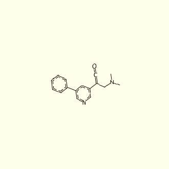 CN(C)CC(=C=O)c1cncc(-c2ccccc2)c1